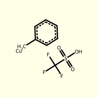 Cc1ccccc1.O=S(=O)(O)C(F)(F)F.[Cu]